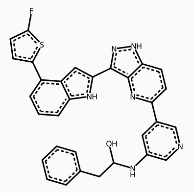 OC(Cc1ccccc1)Nc1cncc(-c2ccc3[nH]nc(-c4cc5c(-c6ccc(F)s6)cccc5[nH]4)c3n2)c1